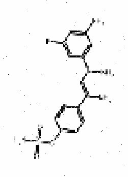 N/C(=C\N(N)c1cc(N)cc(F)c1)c1ccc(OS(N)(=O)=O)cc1